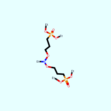 CCOP(=O)(CCCON(CC)OCCCP(=O)(OCC)OCC)OCC